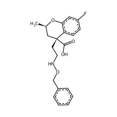 C[C@@H]1C[C@@](CCNOCc2ccccc2)(C(=O)O)c2ccc(F)cc2O1